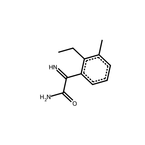 CCc1c(C)cccc1C(=N)C(N)=O